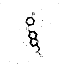 CCNCc1ccc2cc(O[C@H]3CC[C@@H](CC)CC3)ccc2n1